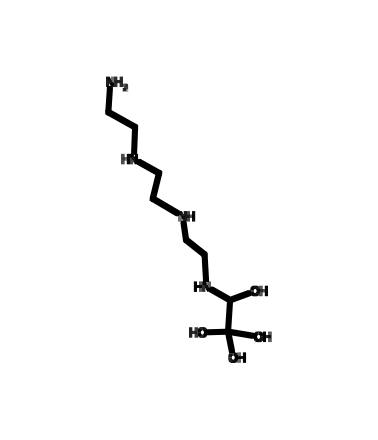 NCCNCCNCCNC(O)C(O)(O)O